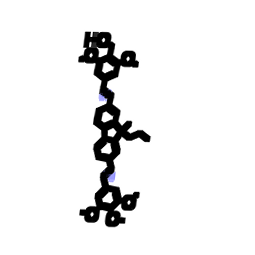 CCCC1(C)c2cc(/C=C/c3cc(OC)c(CO)c(OC)c3)ccc2-c2ccc(/C=C/c3cc(OC)c(OC)c(OC)c3)cc21